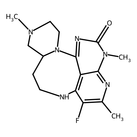 Cc1nc2c3c(nc(=O)n2C)N2CCN(C)CC2CCNc3c1F